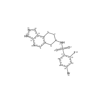 O=S(=O)(NC1CCc2c(cnc3[nH]ncc23)C1)c1ccc(Br)cc1F